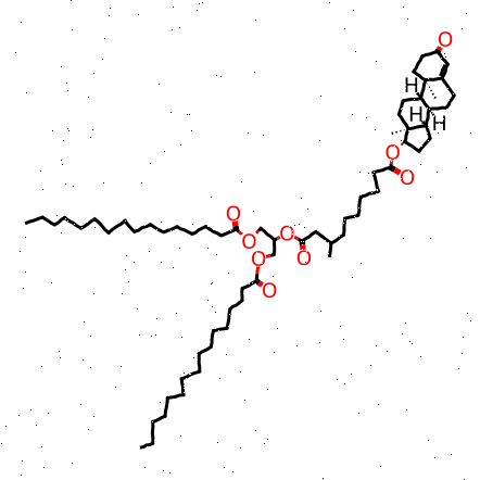 CCCCCCCCCCCCCCCC(=O)OCC(COC(=O)CCCCCCCCCCCCCCC)OC(=O)CC(C)CCCCCCC(=O)O[C@H]1CC[C@H]2[C@@H]3CCC4=CC(=O)CC[C@]4(C)[C@H]3CC[C@]12C